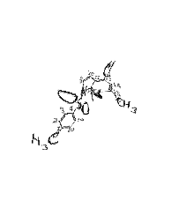 Cc1ccc(S(=O)(=O)n2ccc3c(Cl)cc(C)nc32)cc1